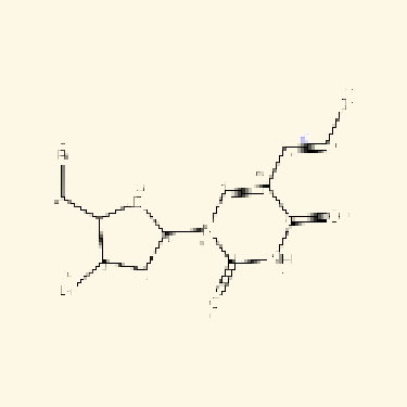 O=c1[nH]c(=O)n(C2CC(Br)C(CBr)O2)cc1/C=C/Br